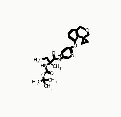 CC[C@@](C)(NC(=O)OC(C)(C)C)C(=O)Nc1ccc(Oc2cccc3c2C2(CC2)COC3)nc1